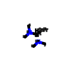 CCC[SiH](N(C)C)N(C)C